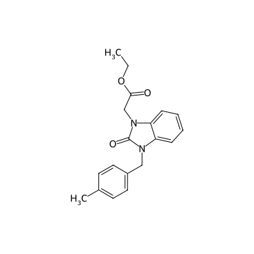 CCOC(=O)Cn1c(=O)n(Cc2ccc(C)cc2)c2ccccc21